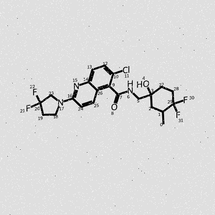 CC1CC(O)(CNC(=O)c2c(Cl)ccc3nc(N4CCC(F)(F)C4)ccc23)CCC1(F)F